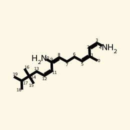 CC(/C=C\N)=C/CC/C=C(N)\C=C/CC(C)(C)C(C)C